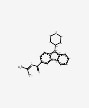 NC(N)=NC(=O)c1ccc2c(c1)c1ccccc1n2C1CCOCC1